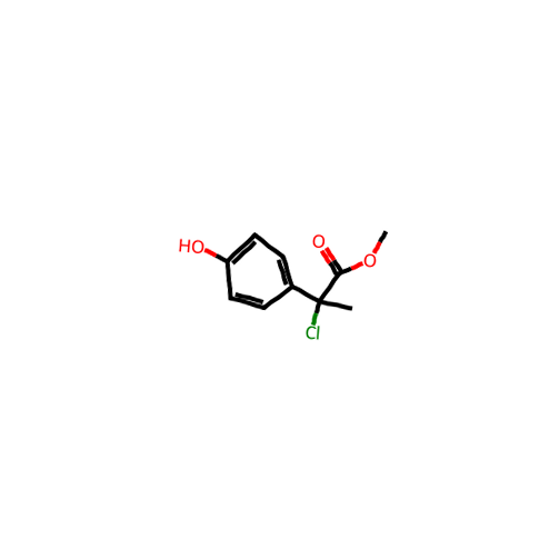 COC(=O)C(C)(Cl)c1ccc(O)cc1